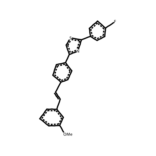 COc1cccc(/C=C/c2ccc(-c3csc(-c4ccc(F)cc4)n3)cc2)c1